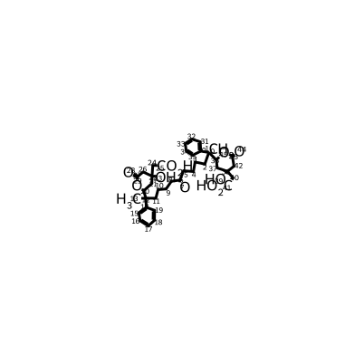 CC(CCCCC(=O)CCCCC(C)(c1ccccc1)C1CC(O)(CC(=O)O)CC(=O)O1)(c1ccccc1)C1CC(O)(CC(=O)O)CC(=O)O1